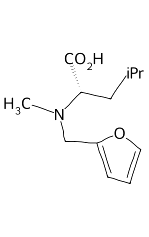 CC(C)C[C@@H](C(=O)O)N(C)Cc1ccco1